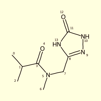 CC(C)C(=O)N(C)Cc1n[nH]c(=O)[nH]1